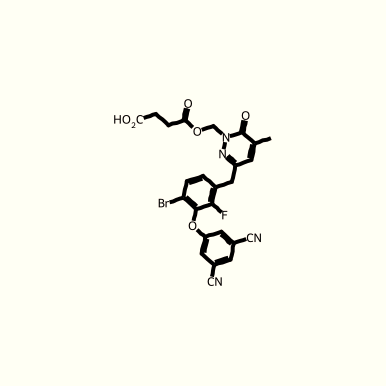 Cc1cc(Cc2ccc(Br)c(Oc3cc(C#N)cc(C#N)c3)c2F)nn(COC(=O)CCC(=O)O)c1=O